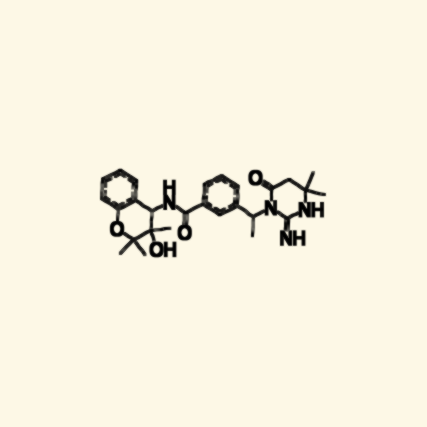 CC(c1cccc(C(=O)NC2c3ccccc3OC(C)(C)C2(C)O)c1)N1C(=N)NC(C)(C)CC1=O